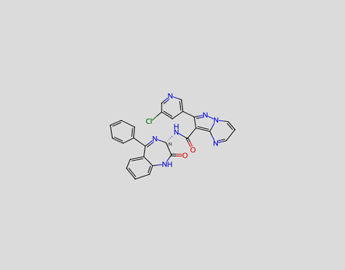 O=C(N[C@H]1N=C(c2ccccc2)c2ccccc2NC1=O)c1c(-c2cncc(Cl)c2)nn2cccnc12